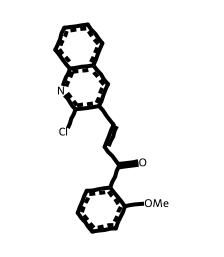 COc1ccccc1C(=O)C=Cc1cc2ccccc2nc1Cl